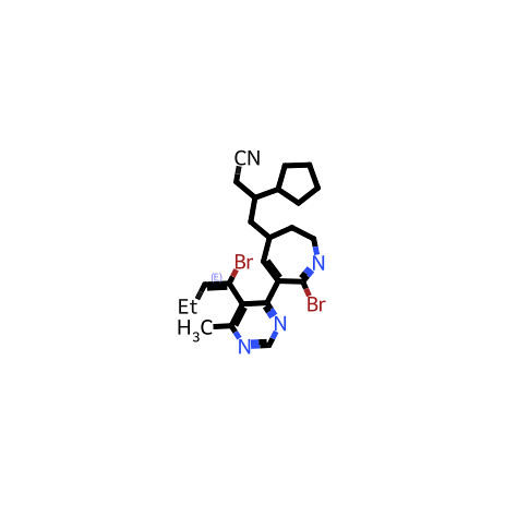 CC/C=C(/Br)c1c(C)ncnc1C1=CC(CC(CC#N)C2CCCC2)CCN=C1Br